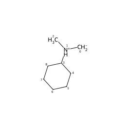 [CH2-][NH+](C)C1CCCCC1